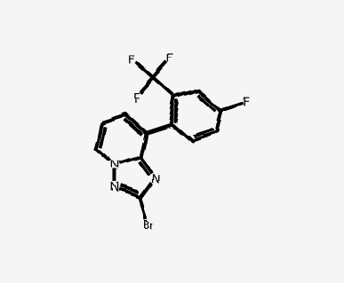 Fc1ccc(-c2cccn3nc(Br)nc23)c(C(F)(F)F)c1